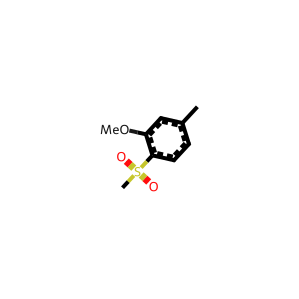 COc1cc(C)ccc1S(C)(=O)=O